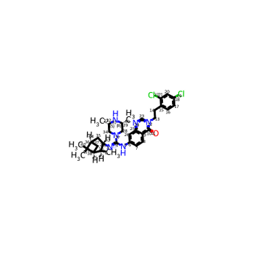 C[C@@H]1[C@@H](/N=C(/Nc2ccc3c(=O)n(CCc4ccc(Cl)cc4Cl)cnc3c2)N2C[C@@H](C)N[C@@H](C)C2)C[C@H]2C[C@@H]1C2(C)C